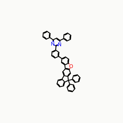 c1ccc(-c2cc(-c3ccccc3)nc(-c3cccc(-c4ccc5oc6cc7c(cc6c5c4)-c4ccccc4C7(c4ccccc4)c4ccccc4)c3)n2)cc1